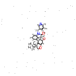 CC1(C)COc2cc3c(cc21)C1(CO3)C(=O)N(Cc2cccnc2)c2ccccc21